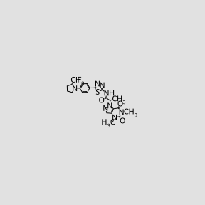 CC1CCCN1c1ccc(-c2nnc(NC(=O)C(C)n3ncc4c3c(=O)n(C)c(=O)n4C)s2)cc1F